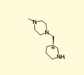 CN1CCN(C[C@@H]2CCCNC2)CC1